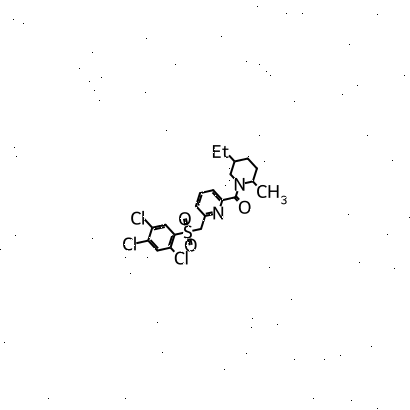 CCC1CCC(C)N(C(=O)c2cccc(CS(=O)(=O)c3cc(Cl)c(Cl)cc3Cl)n2)C1